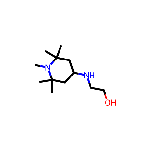 CN1C(C)(C)CC(NCCO)CC1(C)C